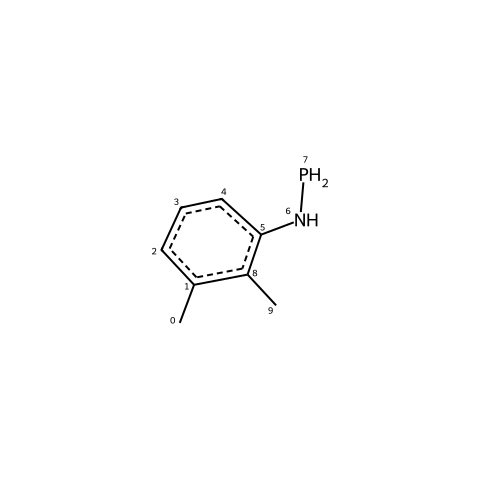 Cc1cccc(NP)c1C